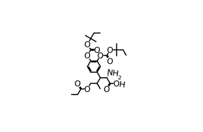 CCC(=O)OCC(C)C(c1ccc(OC(=O)OC(C)(C)CC)c(OC(=O)OC(C)(C)CC)c1)[C@H](N)C(=O)O